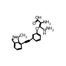 Cn1ncc2cccc(C#Cc3cccc(O/C(NN)=C(/N)C(=O)O)c3)c21